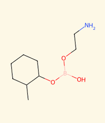 CC1CCCCC1OB(O)OCCN